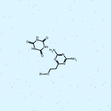 CC(C)OCCc1nc(N)nc(N)n1.O=c1[nH]c(=O)[nH]c(=O)[nH]1